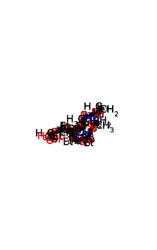 C=C(C)C(=O)OCCNC(=O)C(C)(CC)OCCC(CC)OCC(CC)(COC(C)(CC)CCOC(C)(CC)C(=O)NCCOC(=O)C(=C)C)COC(C)(CC)CCOC(C)(CC)P(=O)(O)O